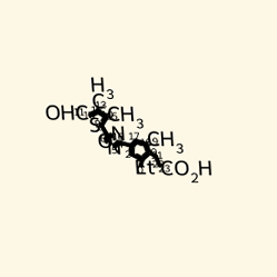 CCc1cc(-c2noc(-c3sc(C=O)c(C)c3C)n2)cc(C)c1CCC(=O)O